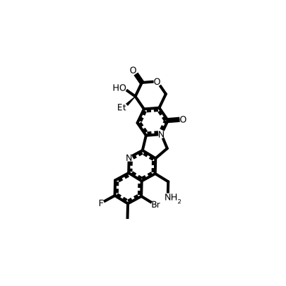 CC[C@@]1(O)C(=O)OCc2c1cc1n(c2=O)Cc2c-1nc1cc(F)c(C)c(Br)c1c2CN